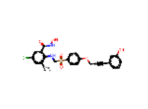 Cc1cc(Br)cc(C(=O)NO)c1NCS(=O)(=O)c1ccc(OCC#Cc2cccc(O)c2)cc1